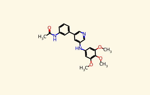 COc1cc(Nc2cncc(-c3cccc(NC(C)=O)c3)c2)cc(OC)c1OC